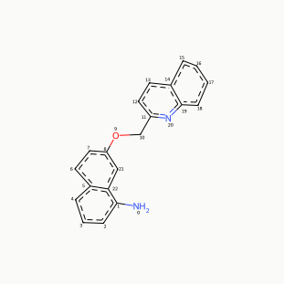 Nc1cccc2ccc(OCc3ccc4ccccc4n3)cc12